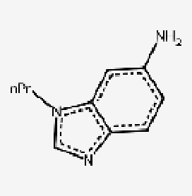 CCCn1cnc2ccc(N)cc21